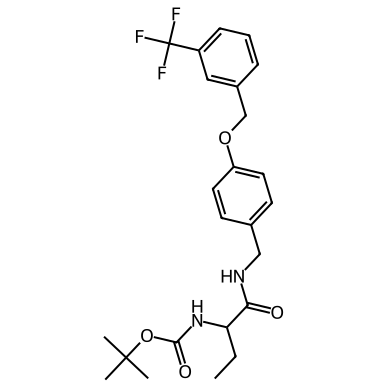 CCC(NC(=O)OC(C)(C)C)C(=O)NCc1ccc(OCc2cccc(C(F)(F)F)c2)cc1